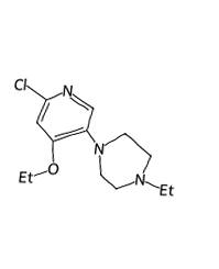 CCOc1cc(Cl)ncc1N1CCN(CC)CC1